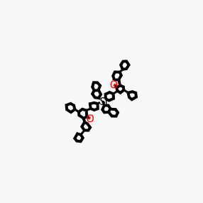 c1ccc(-c2ccc3oc4c(-c5ccc([Si](c6ccc(-c7cc(-c8ccccc8)cc8c7oc7ccc(-c9ccccc9)cc78)cc6)(c6ccc7ccccc7c6)c6ccc7ccccc7c6)cc5)cc(-c5ccccc5)cc4c3c2)cc1